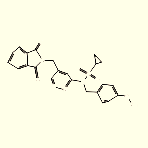 COc1ccc(CN(c2cc(CN3C(=O)c4ccccc4C3=O)cnn2)S(=O)(=O)C2CC2)cc1